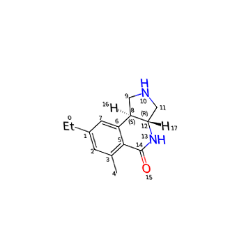 CCc1cc(C)c2c(c1)[C@H]1CNC[C@@H]1NC2=O